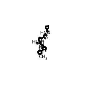 Cc1cccc(-c2nccc3[nH]c(-c4n[nH]c5ccc(-c6cncc(NC(=O)C7CCCC7)c6)nc45)nc23)c1